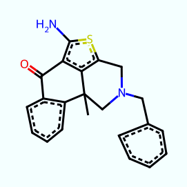 CC12CN(Cc3ccccc3)Cc3sc(N)c(c31)C(=O)c1ccccc12